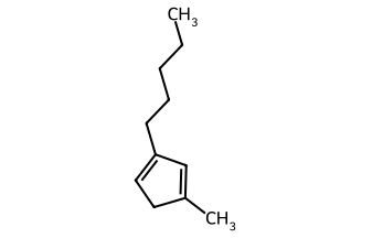 CCCCCC1=CCC(C)=C1